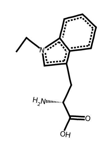 CCn1cc(C[C@@H](N)C(=O)O)c2ccccc21